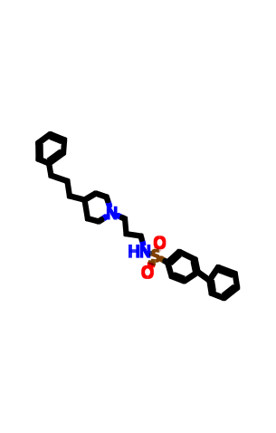 O=S(=O)(NCCCN1CCC(CCCc2ccccc2)CC1)c1ccc(-c2ccccc2)cc1